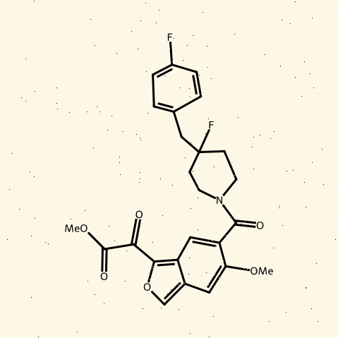 COC(=O)C(=O)c1occ2cc(OC)c(C(=O)N3CCC(F)(Cc4ccc(F)cc4)CC3)cc12